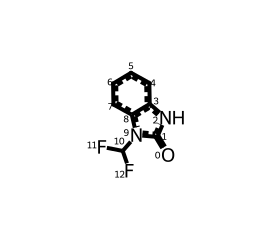 O=c1[nH]c2ccccc2n1C(F)F